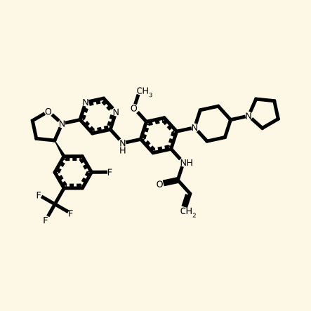 C=CC(=O)Nc1cc(Nc2cc(N3OCC[C@@H]3c3cc(F)cc(C(F)(F)F)c3)ncn2)c(OC)cc1N1CCC(N2CCCC2)CC1